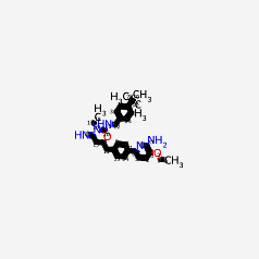 CCOc1ccc(-c2ccc(CCCC(=N)N(CC)C(=O)NCc3ccc(C(C)(C)C)cc3)cc2)nc1N